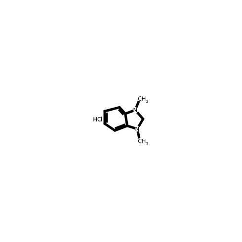 CN1CN(C)c2ccccc21.Cl